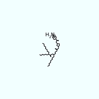 C=C(CCCC(CCCCCCCC)CC(=C)C(CCCCCC)CCCCCCCC)CC1CCC(CC(=C)C2CCN(N)CC2)C1